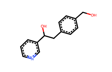 OCc1ccc(CC(O)c2cccnc2)cc1